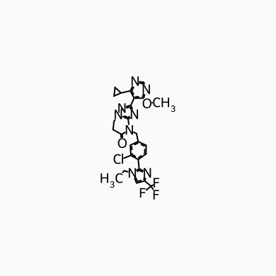 CCn1cc(C(F)(F)F)nc1-c1ccc(CN2C(=O)CCn3nc(-c4c(OC)ncnc4C4CC4)nc32)cc1Cl